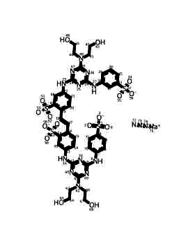 O=S(=O)([O-])c1ccc(Nc2nc(Nc3ccc(C=Cc4ccc(Nc5nc(Nc6cccc(S(=O)(=O)[O-])c6)nc(N(CCO)CCO)n5)cc4S(=O)(=O)[O-])c(S(=O)(=O)[O-])c3)nc(N(CCO)CCO)n2)cc1.[Na+].[Na+].[Na+].[Na+]